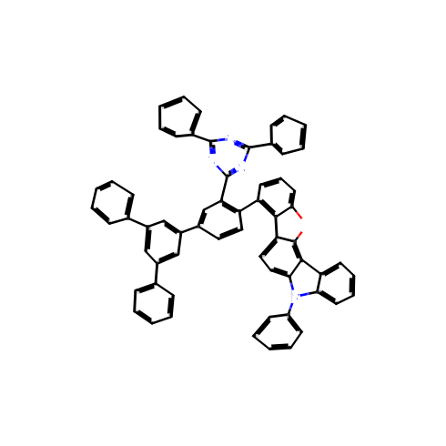 c1ccc(-c2cc(-c3ccccc3)cc(-c3ccc(-c4cccc5oc6c(ccc7c6c6ccccc6n7-c6ccccc6)c45)c(-c4nc(-c5ccccc5)nc(-c5ccccc5)n4)c3)c2)cc1